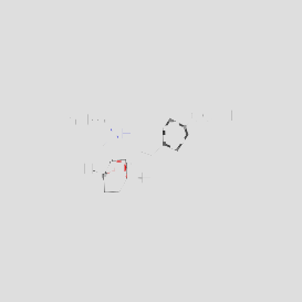 CCCCCCNC[C@@H]1[C@H](CCc2ccc(C(=O)O)cc2)[C@@H]2CC[C@H]1O2